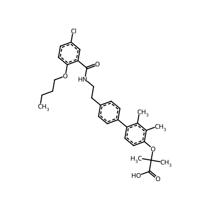 CCCCOc1ccc(Cl)cc1C(=O)NCCc1ccc(-c2ccc(OC(C)(C)C(=O)O)c(C)c2C)cc1